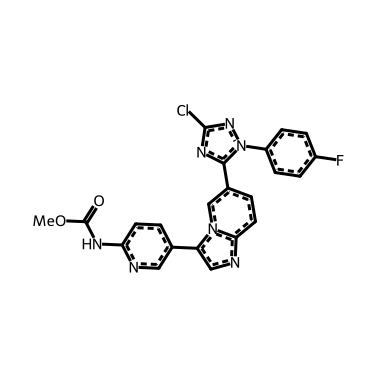 COC(=O)Nc1ccc(-c2cnc3ccc(-c4nc(Cl)nn4-c4ccc(F)cc4)cn23)cn1